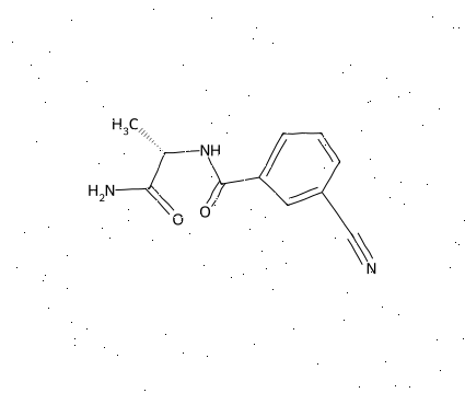 C[C@H](NC(=O)c1cccc(C#N)c1)C(N)=O